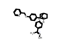 N/C(=N\O)c1ccc([C@]2(c3ccc(OCc4ccccn4)cc3)CC3CC[C@@H]2C3)cc1